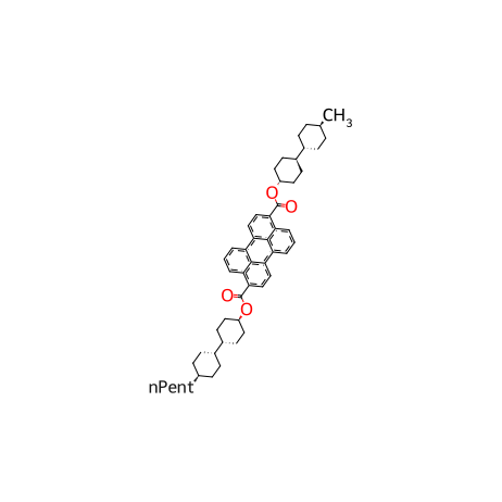 CCCCC[C@H]1CC[C@H]([C@H]2CC[C@H](OC(=O)c3ccc4c5cccc6c(C(=O)O[C@H]7CC[C@H]([C@H]8CC[C@H](C)CC8)CC7)ccc(c7cccc3c74)c65)CC2)CC1